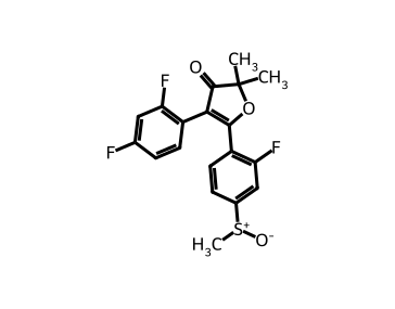 C[S+]([O-])c1ccc(C2=C(c3ccc(F)cc3F)C(=O)C(C)(C)O2)c(F)c1